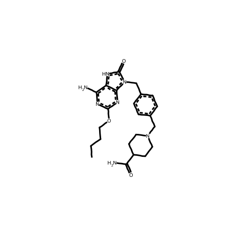 CCCCOc1nc(N)c2[nH]c(=O)n(Cc3ccc(CN4CCC(C(N)=O)CC4)cc3)c2n1